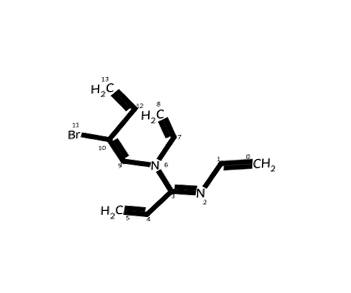 C=C/N=C(/C=C)N(C=C)/C=C(/Br)C=C